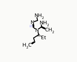 C=CC[C@@H](CC)N(/C=N\CN)C(=C)N